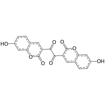 O=C(C(=O)c1cc2ccc(O)cc2oc1=O)c1cc2ccc(O)cc2oc1=O